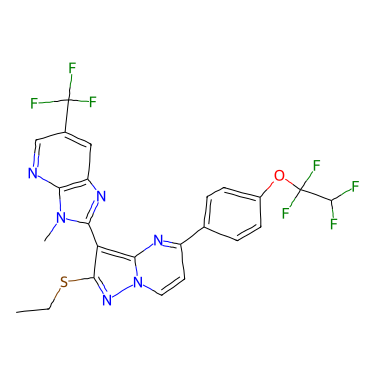 CCSc1nn2ccc(-c3ccc(OC(F)(F)C(F)F)cc3)nc2c1-c1nc2cc(C(F)(F)F)cnc2n1C